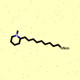 CCCCCCCCCCCCCCCCCCC1CCCCN1C